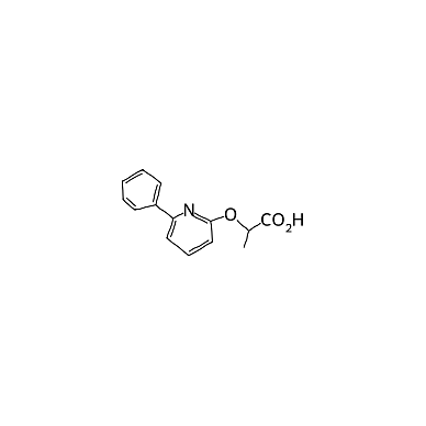 CC(Oc1cccc(-c2ccccc2)n1)C(=O)O